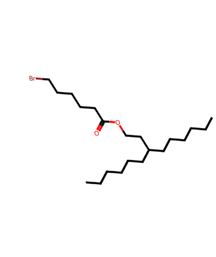 CCCCCCC(CCCCCC)CCOC(=O)CCCCCBr